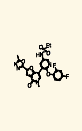 CCS(=O)(=O)Nc1cnc(Oc2ccc(F)cc2F)c(-c2cn(C)c(=O)c3cc(-c4nnc(C)o4)oc23)c1